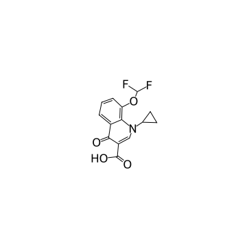 O=C(O)c1cn(C2CC2)c2c(OC(F)F)cccc2c1=O